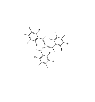 CC(=C1C(=C(C)c2c(F)c(F)c(C)c(F)c2F)C1=C(C)c1c(F)c(F)c(C)c(F)c1F)c1c(F)c(F)c(C)c(F)c1F